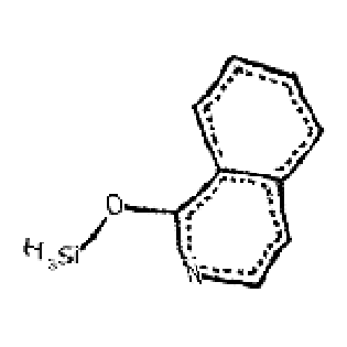 [SiH3]Oc1nccc2ccccc12